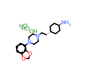 Cl.Cl.Cl.N[C@H]1CC[C@H](CCN2CCN(c3cccc4c3OCO4)CC2)CC1